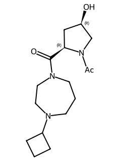 CC(=O)N1C[C@H](O)C[C@@H]1C(=O)N1CCCN(C2CCC2)CC1